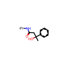 CC(C)NC(=O)CC(C)(O)c1ccccc1